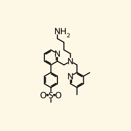 Cc1cnc(CN(CCCCN)Cc2ncccc2-c2ccc(S(C)(=O)=O)cc2)c(C)c1